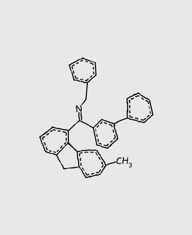 Cc1ccc2c(c1)-c1c(cccc1/C(=N/Cc1ccccc1)c1cccc(-c3ccccc3)c1)C2